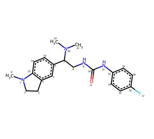 CN1CCc2cc(C(CNC(=O)Nc3ccc(F)cc3)N(C)C)ccc21